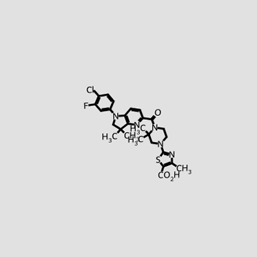 Cc1nc(N2CCN(C(=O)c3ccc4c(n3)C(C)(C)CN4c3ccc(Cl)c(F)c3)C(C)(C)C2)sc1C(=O)O